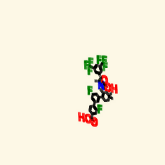 C[C@H]1[C@@H](c2cc(C(F)(F)F)cc(C(F)(F)F)c2)OC(O)N1CC1=C(c2cc(F)cc(-c3ccc(C(=O)O)cc3F)c2)CCC(C)(C)C1